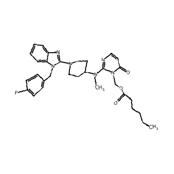 CCCCCC(=O)OCn1c(N(C)C2CCN(c3nc4ccccc4n3Cc3ccc(F)cc3)CC2)nccc1=O